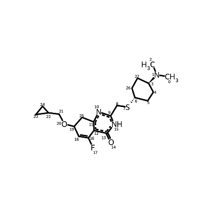 CN(C)[C@H]1CC[C@H](SCc2nc3c(c(=O)[nH]2)C(F)=CC(OCC2CC2)C3)CC1